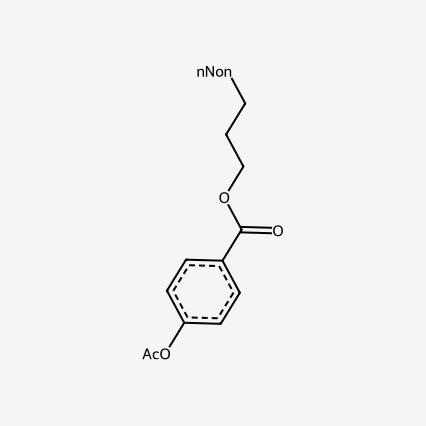 CCCCCCCCCCCCOC(=O)c1ccc(OC(C)=O)cc1